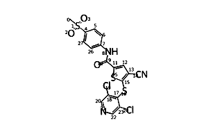 CS(=O)(=O)c1ccc(NC(=O)c2cc(C#N)c(Sc3c(Cl)cncc3Cl)s2)cc1